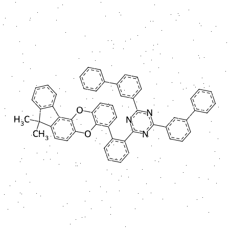 CC1(C)c2ccccc2-c2c1ccc1c2Oc2cccc(-c3ccccc3-c3nc(-c4cccc(-c5ccccc5)c4)nc(-c4cccc(-c5ccccc5)c4)n3)c2O1